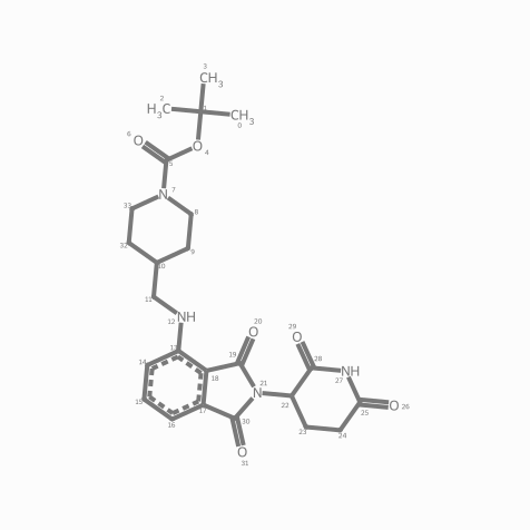 CC(C)(C)OC(=O)N1CCC(CNc2cccc3c2C(=O)N(C2CCC(=O)NC2=O)C3=O)CC1